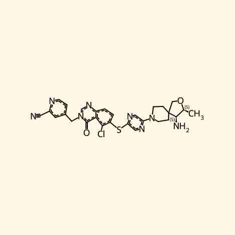 C[C@@H]1OCC2(CCN(c3cnc(Sc4ccc5ncn(Cc6ccnc(C#N)c6)c(=O)c5c4Cl)cn3)CC2)[C@@H]1N